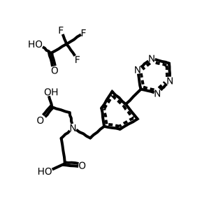 O=C(O)C(F)(F)F.O=C(O)CN(CC(=O)O)Cc1ccc(-c2nncnn2)cc1